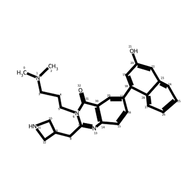 CN(C)CCCn1c(CC2CNC2)nc2ccc(-c3cc(O)cc4ccccc34)cc2c1=O